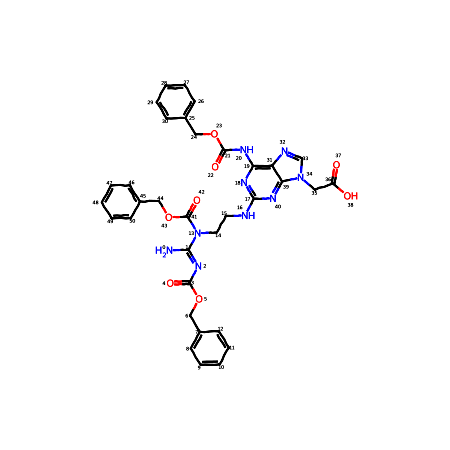 NC(=NC(=O)OCc1ccccc1)N(CCNc1nc(NC(=O)OCc2ccccc2)c2ncn(CC(=O)O)c2n1)C(=O)OCc1ccccc1